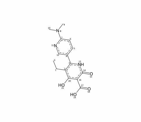 CCc1c(-c2ccc(N(C)C)nc2)[nH]c(=O)c(C(=O)O)c1O